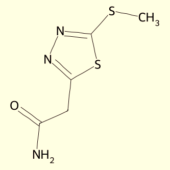 CSc1nnc(CC(N)=O)s1